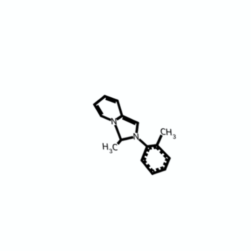 Cc1ccccc1N1C=C2C=CC=CN2C1C